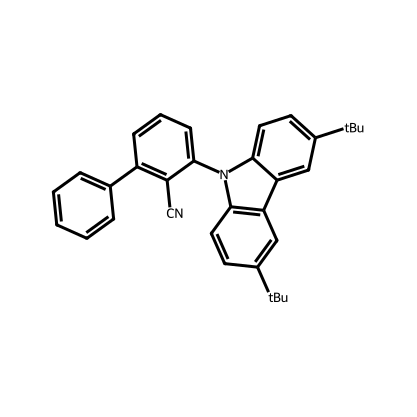 CC(C)(C)c1ccc2c(c1)c1cc(C(C)(C)C)ccc1n2-c1cccc(-c2ccccc2)c1C#N